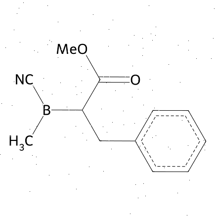 COC(=O)C(Cc1ccccc1)B(C)C#N